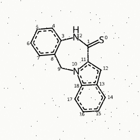 S=C1Nc2ccccc2Cn2c1cc1ccccc12